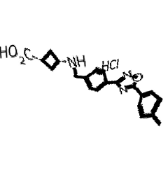 Cc1ccc(-c2nc(-c3ccc(CN[C@H]4C[C@@H](C(=O)O)C4)cc3)no2)cc1.Cl